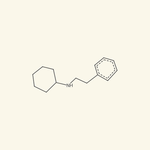 c1ccc(CCNC2CCCCC2)cc1